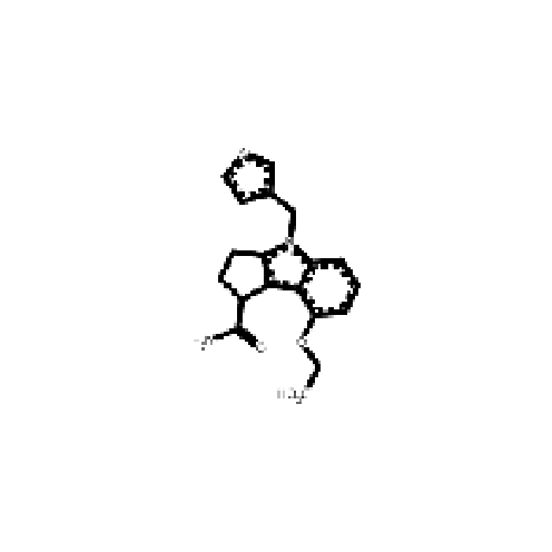 NC(=O)C1CCc2c1c1c(OCC(=O)O)cccc1n2Cc1ccsc1